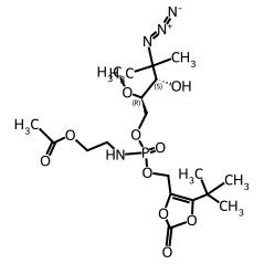 CO[C@H](COP(=O)(NCCOC(C)=O)OCc1oc(=O)oc1C(C)(C)C)[C@@H](O)C(C)(C)N=[N+]=[N-]